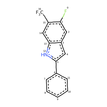 Fc1cc2cc(-c3ccccc3)[nH]c2cc1C(F)(F)F